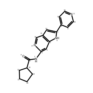 O=C(Nc1cc2[nH]c(-c3ccncc3)cc2cn1)C1CCCC1